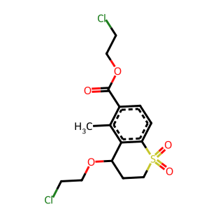 Cc1c(C(=O)OCCCl)ccc2c1C(OCCCl)CCS2(=O)=O